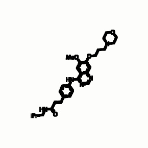 COc1cc2c(Nc3ccc(C=CC(=O)NCC(C)C)cc3)ncnc2cc1OCCCN1CCOCC1